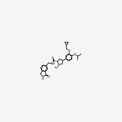 CC(=O)N1CC(c2ccc(OC(F)F)c(OCC3CC3)c2)C[C@@H]1C(=O)NCc1ccc2c(c1)C(=O)NC2